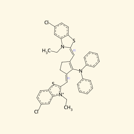 CCN1/C(=C\C2=C(N(c3ccccc3)c3ccccc3)C(=C/c3sc4ccc(Cl)cc4[n+]3CC)/CC2)Sc2ccc(Cl)cc21